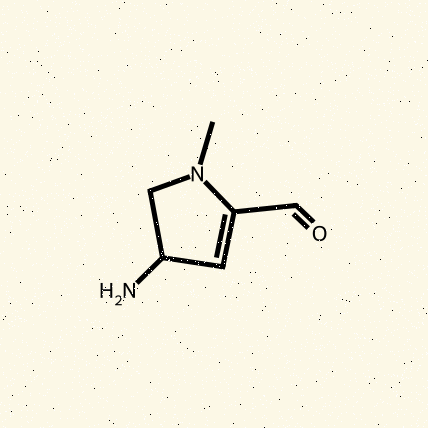 CN1CC(N)C=C1C=O